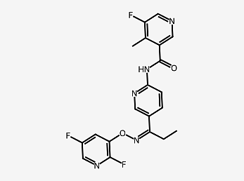 CCC(=NOc1cc(F)cnc1F)c1ccc(NC(=O)c2cncc(F)c2C)nc1